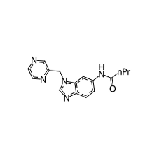 CCCC(=O)Nc1ccc2ncn(Cc3cnccn3)c2c1